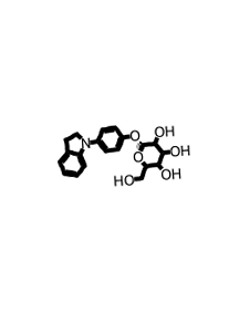 OCC1O[C@H](Oc2ccc(N3CCc4ccccc43)cc2)C(O)C(O)C1O